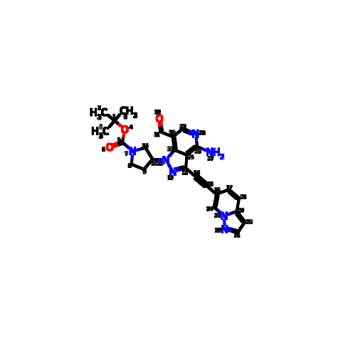 CC(C)(C)OC(=O)N1CC[C@H](n2nc(C#Cc3ccc4ccnn4c3)c3c(N)ncc(C=O)c32)C1